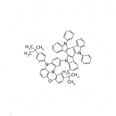 CC(C)(C)c1ccc(N2c3ccc(-n4c5ccccc5c5c6c(c7ccccc7n6-c6ccccc6)c6c(c7ccccc7n6-c6ccccc6)c54)cc3B3c4cc(C(C)(C)C)ccc4Oc4cccc2c43)cc1